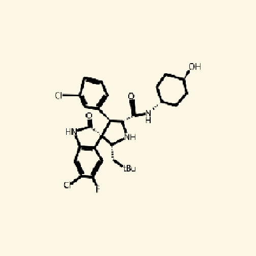 CC(C)(C)C[C@H]1N[C@@H](C(=O)N[C@H]2CC[C@H](O)CC2)[C@H](c2cccc(Cl)c2)[C@@]12C(=O)Nc1cc(Cl)c(F)cc12